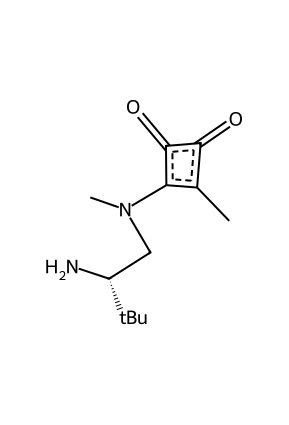 Cc1c(N(C)C[C@@H](N)C(C)(C)C)c(=O)c1=O